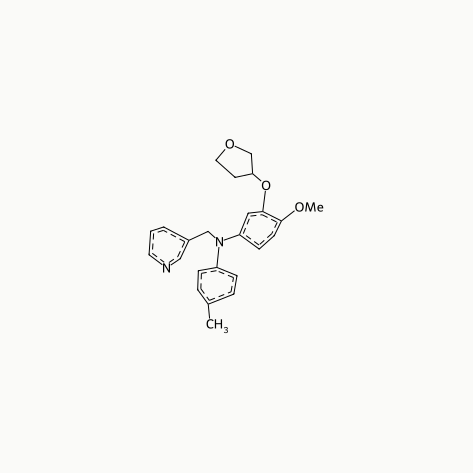 COc1ccc(N(Cc2cccnc2)c2ccc(C)cc2)cc1OC1CCOC1